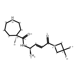 C[C@H](/C=C/C(=O)N1CC(F)(F)C1)NC(=O)[C@@]1(F)CCCNCC1